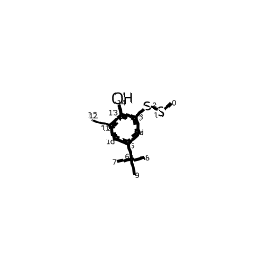 CSSc1cc(C(C)(C)C)cc(C)c1O